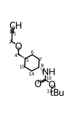 C#CCOC[C@H]1CC[C@H](NC(=O)OC(C)(C)C)CC1